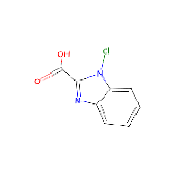 O=C(O)c1nc2ccccc2n1Cl